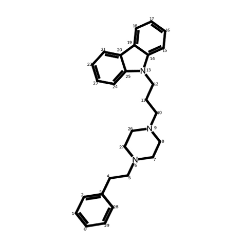 c1ccc(CCN2CCN(CCCn3c4ccccc4c4ccccc43)CC2)cc1